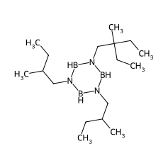 CCC(C)CN1BN(CC(C)CC)BN(CC(C)(CC)CC)B1